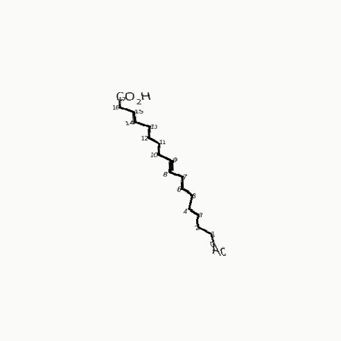 CC(=O)CCCCCCC/C=C/CCCCCCCC(=O)O